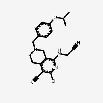 CC(C)Oc1ccc(CN2CCc3c(C#N)c(Cl)nc(NCC#N)c3C2)cc1